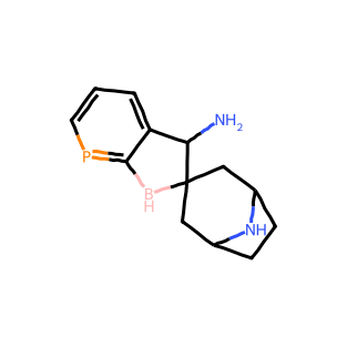 NC1c2cccpc2BC12CC1CCC(C2)N1